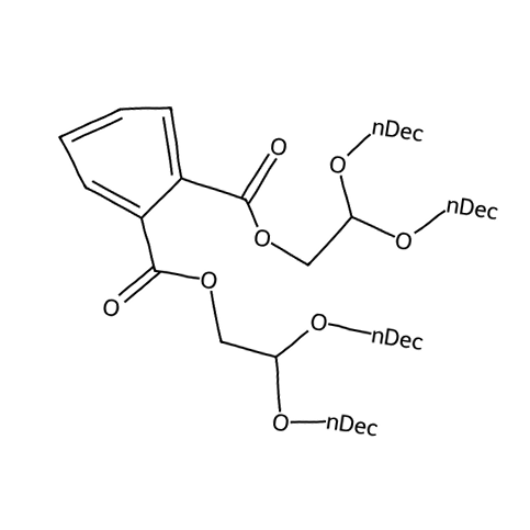 CCCCCCCCCCOC(COC(=O)c1ccccc1C(=O)OCC(OCCCCCCCCCC)OCCCCCCCCCC)OCCCCCCCCCC